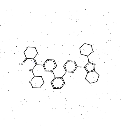 N=C1CCCC/C1=C(/NC1CCCCO1)c1cccc(-c2ccccc2-c2cccc(-c3c4c(nn3C3CCCCO3)CCCC4)n2)n1